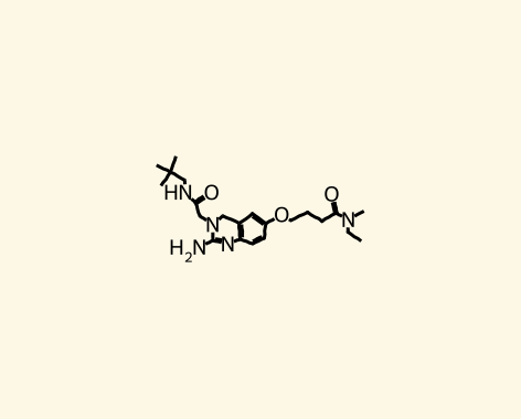 CCN(C)C(=O)CCCOc1ccc2c(c1)CN(CC(=O)NCC(C)(C)C)C(N)=N2